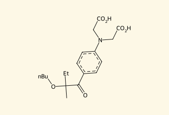 CCCCOC(C)(CC)C(=O)c1ccc(N(CC(=O)O)CC(=O)O)cc1